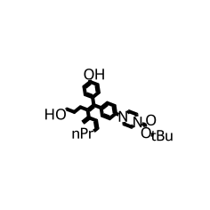 C=C(/C=C\CCC)/C(CCCO)=C(/c1ccc(O)cc1)c1ccc(N2CCN(C(=O)OC(C)(C)C)CC2)cc1